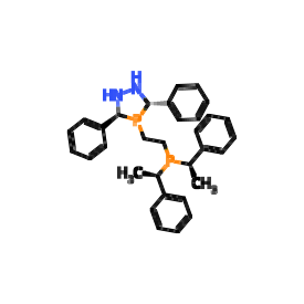 C[C@H](c1ccccc1)P(CCP1[C@@H](c2ccccc2)NN[C@@H]1c1ccccc1)[C@H](C)c1ccccc1